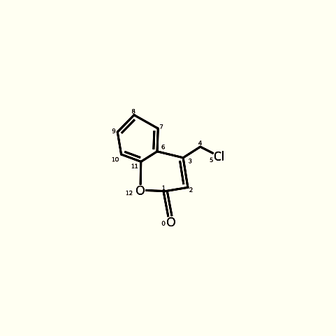 O=c1cc(CCl)c2ccccc2o1